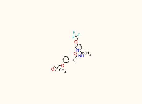 C[C@@H](NC(=O)C1CC1c1cccc(OCC2(C)COC2)c1)c1ccc(OCC(F)(F)F)cn1